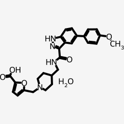 COc1ccc(-c2ccc3[nH]nc(C(=O)NCC4CCN(Cc5ccc(C(=O)O)o5)CC4)c3c2)cc1.O